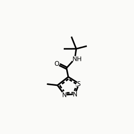 Cc1nnsc1C(=O)NC(C)(C)C